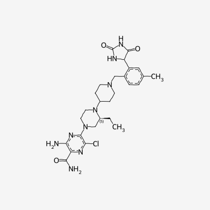 CC[C@H]1CN(c2nc(N)c(C(N)=O)nc2Cl)CCN1C1CCN(Cc2ccc(C)cc2C2NC(=O)NC2=O)CC1